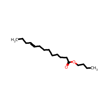 CCCC=CCCCCCCCC(=O)OCCCC